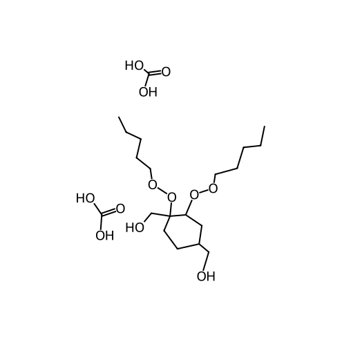 CCCCCOOC1CC(CO)CCC1(CO)OOCCCCC.O=C(O)O.O=C(O)O